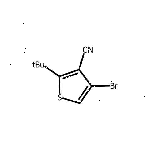 CC(C)(C)c1scc(Br)c1C#N